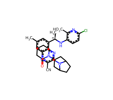 Cc1cc([C@@H](C)Nc2ccc(Cl)nc2C(=O)O)c2nc(N3C4CCC3CC(N3CCCCC3=O)C4)c(C#N)nc2c1